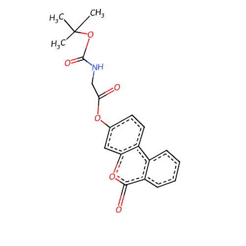 CC(C)(C)OC(=O)NCC(=O)Oc1ccc2c(c1)oc(=O)c1ccccc12